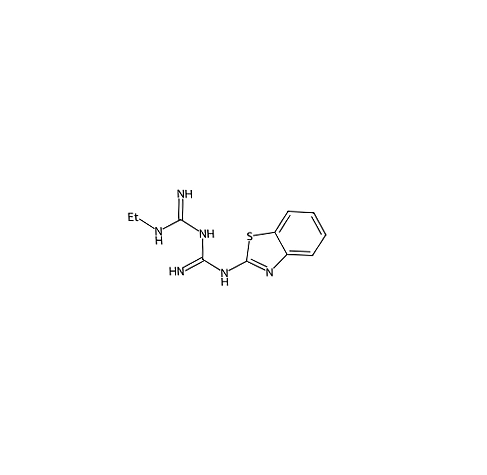 CCNC(=N)NC(=N)Nc1nc2ccccc2s1